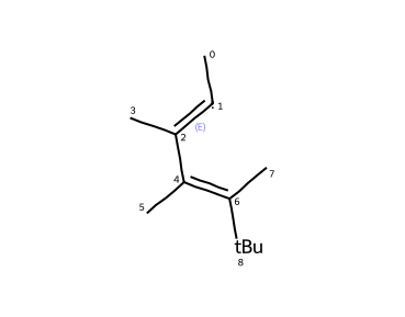 C/[C]=C(\C)C(C)=C(C)C(C)(C)C